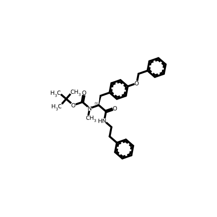 CN(C(=O)OC(C)(C)C)[C@@H](Cc1ccc(OCc2ccccc2)cc1)C(=O)NCCc1ccccc1